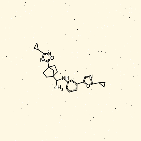 CC(Nc1cccc(-c2cnc(C3CC3)o2)c1)C12CCC(c3nc(C4CC4)no3)(CC1)C2